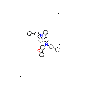 c1ccc(-c2ccc(N(c3ccc(-c4ccccc4-n4c5ccccc5c5cc(-c6ccccc6)ccc54)cc3)c3ccc4oc5ccccc5c4c3)cc2)cc1